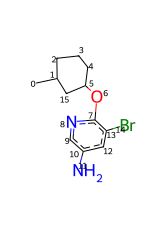 CC1CCCC(Oc2ncc(N)cc2Br)C1